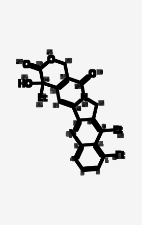 CCc1cccc2nc3c(c(CC)c12)Cn1c-3cc2c(c1=O)COC(=O)C2(O)CC